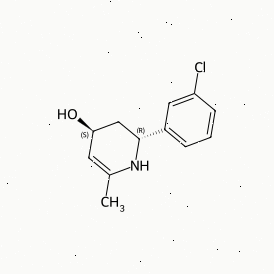 CC1=C[C@@H](O)C[C@H](c2cccc(Cl)c2)N1